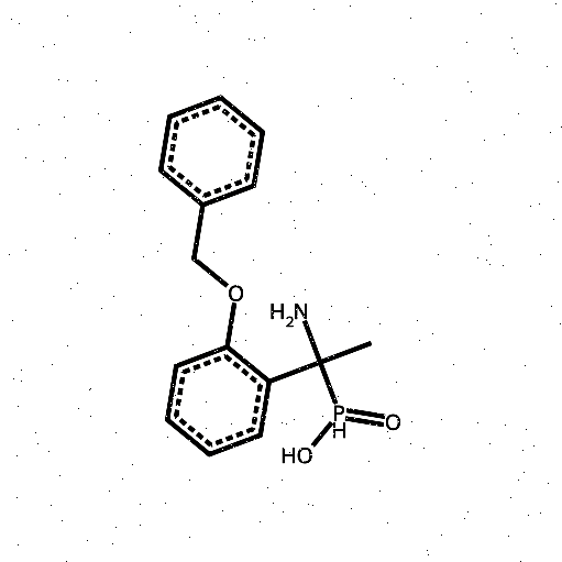 CC(N)(c1ccccc1OCc1ccccc1)[PH](=O)O